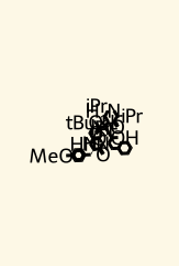 COc1ccc(C[C@H](NC(=O)CC(C)C)C(=O)NC(CC2CCCCC2)C(O)C(F)(F)C(C(=O)OC(C)(C)C)N(CCC(C)C)C(=O)[C@@H](N)C(C)C)cc1